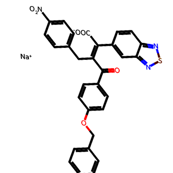 O=C([O-])C(=C(Cc1ccc([N+](=O)[O-])cc1)C(=O)c1ccc(OCc2ccccc2)cc1)c1ccc2nsnc2c1.[Na+]